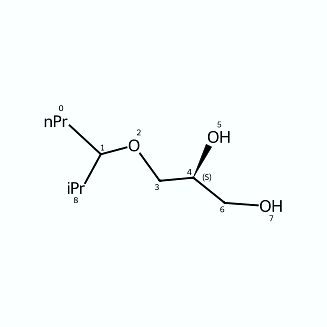 CCCC(OC[C@@H](O)CO)C(C)C